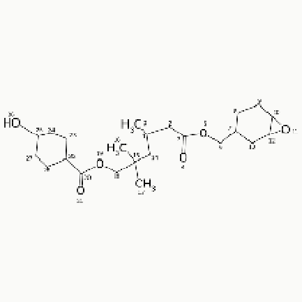 CC(CC(=O)OCC1CCC2OC2C1)CC(C)(C)COC(=O)C1CCC(O)CC1